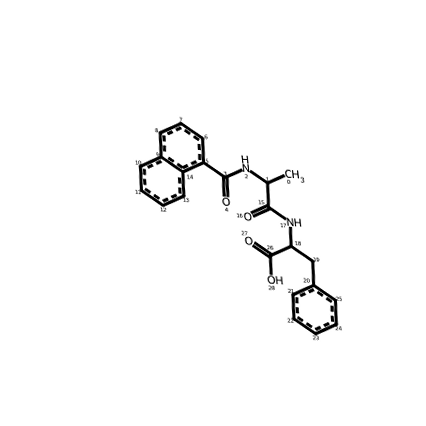 CC(NC(=O)c1cccc2ccccc12)C(=O)NC(Cc1ccccc1)C(=O)O